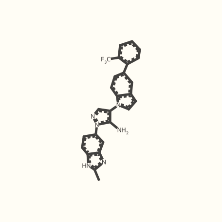 Cc1nc2cc(-n3ncc(-n4[c]cc5cc(-c6ccccc6C(F)(F)F)ccc54)c3N)ccc2[nH]1